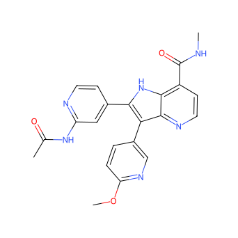 CNC(=O)c1ccnc2c(-c3ccc(OC)nc3)c(-c3ccnc(NC(C)=O)c3)[nH]c12